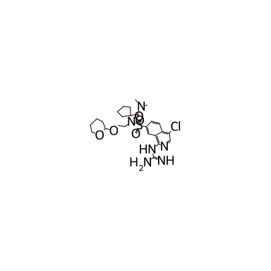 CN(C)C(=O)C1(N(CCOC2CCCCO2)S(=O)(=O)c2ccc3c(Cl)cnc(NC(=N)N)c3c2)CCCC1